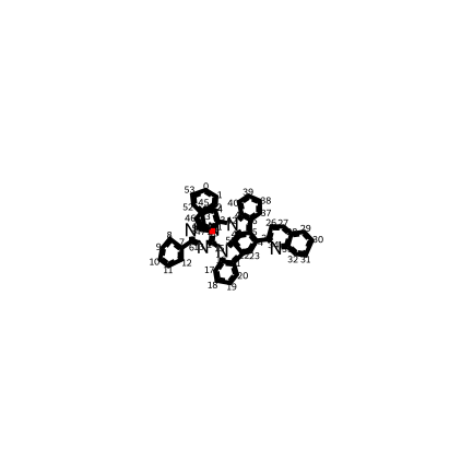 c1ccc(-c2nc(-c3ccccc3)nc(-n3c4ccccc4c4cc(-c5ccc6ccccc6n5)c5c6ccccc6n(-c6ccccc6)c5c43)n2)cc1